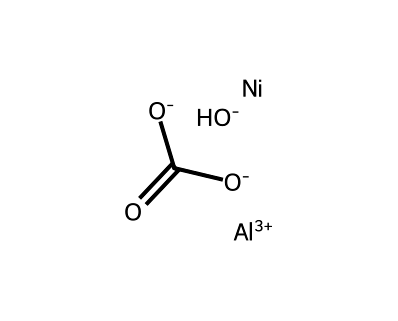 O=C([O-])[O-].[Al+3].[Ni].[OH-]